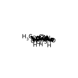 CCCS(=O)(=O)Nc1ccc(Cl)c(NC(=O)c2csc3c(NC4CCOC4)ncnc23)c1Cl